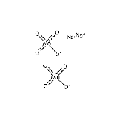 [Na+].[Na+].[O]=[Mn](=[O])(=[O])[O-].[O]=[Mn](=[O])(=[O])[O-]